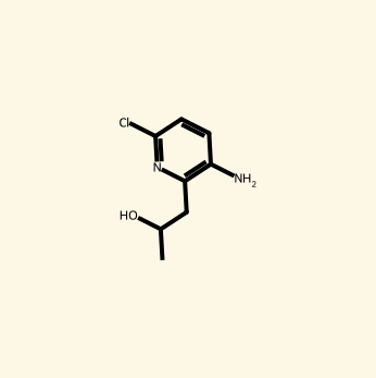 CC(O)Cc1nc(Cl)ccc1N